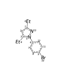 CCc1cc(CC)n(-c2ccc(Br)cc2)n1